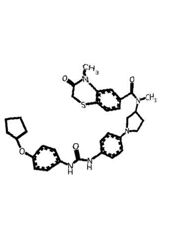 CN1C(=O)CSc2ccc(C(=O)N(C)C3CCN(c4ccc(NC(=O)Nc5ccc(OC6CCCC6)cc5)cc4)C3)cc21